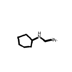 C[C](C)CNC1CCCCC1